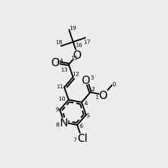 COC(=O)c1cc(Cl)ncc1C=CC(=O)OC(C)(C)C